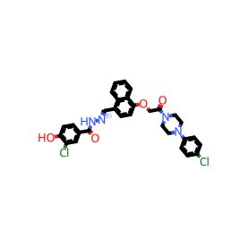 O=C(N/N=C/c1ccc(OCC(=O)N2CCN(c3ccc(Cl)cc3)CC2)c2ccccc12)c1ccc(O)c(Cl)c1